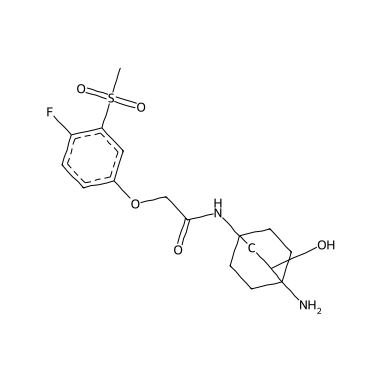 CS(=O)(=O)c1cc(OCC(=O)NC23CCC(N)(CC2)C(O)C3)ccc1F